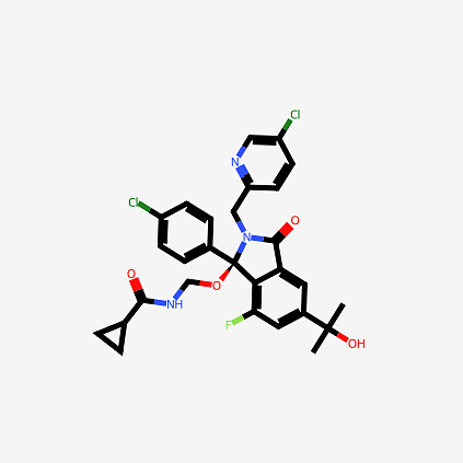 CC(C)(O)c1cc(F)c2c(c1)C(=O)N(Cc1ccc(Cl)cn1)[C@@]2(OCNC(=O)C1CC1)c1ccc(Cl)cc1